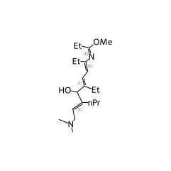 CCC/C(=C\CN(C)C)C(O)/C(=C/C=C(CC)/N=C(\CC)OC)CC